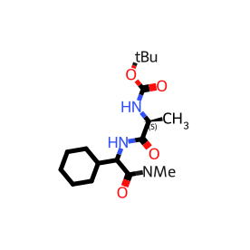 CNC(=O)C(NC(=O)[C@H](C)NC(=O)OC(C)(C)C)C1CCCCC1